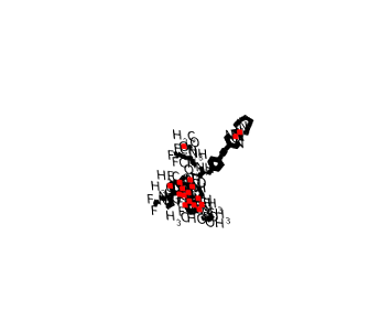 COC(=O)N[C@H](C(=O)N[C@@H](Cc1ccc(C#Cc2cnc(N3CC4CCC(C3)N4C3COC3)nc2)cc1)[C@H](CN(Cc1c(F)cc(-c2ccn(C(F)F)n2)cc1F)NC(=O)[C@@H](NC(=O)OC)C(C)(C)C(F)(F)F)OC(=O)CC(C)(C)c1c(CC(=O)N(C)[C@@H](C)C(=O)O)cc(C)cc1OP(=O)(O)O)C(C)(C)C(F)(F)F